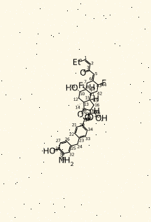 CC/C=C\C(=O)/C=C1\C[C@@]2(F)[C@@H](O)C[C@@]3(C)[C@@H](C[C@H]4O[C@@H](c5ccc(Cc6ccc(O)c(N)c6)cc5)O[C@]43C(=O)CO)[C@@H]2C[C@@H]1F